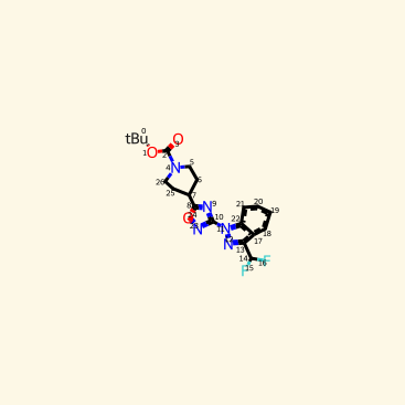 CC(C)(C)OC(=O)N1CCC(c2nc(-n3nc(C(F)F)c4ccccc43)no2)CC1